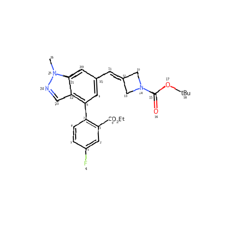 CCOC(=O)c1cc(F)ccc1-c1cc(C=C2CN(C(=O)OC(C)(C)C)C2)cc2c1cnn2C